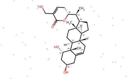 C[C@@H]([C@H]1CC[C@H]2[C@@H]3CC=C4C[C@@H](O)C[C@H](O)[C@]4(C)[C@H]3CC[C@]12C)[C@H]1CC=C(CO)C(=O)O1